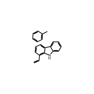 C=Cc1cccc2c1[nH]c1ccccc12.Cc1ccccc1